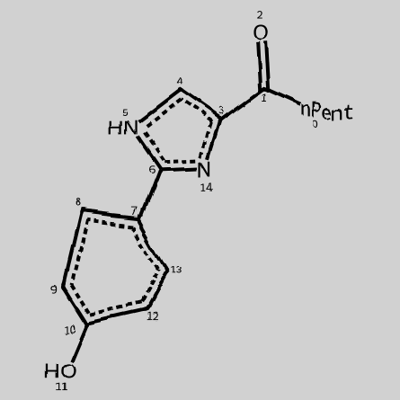 CCCCCC(=O)c1c[nH]c(-c2ccc(O)cc2)n1